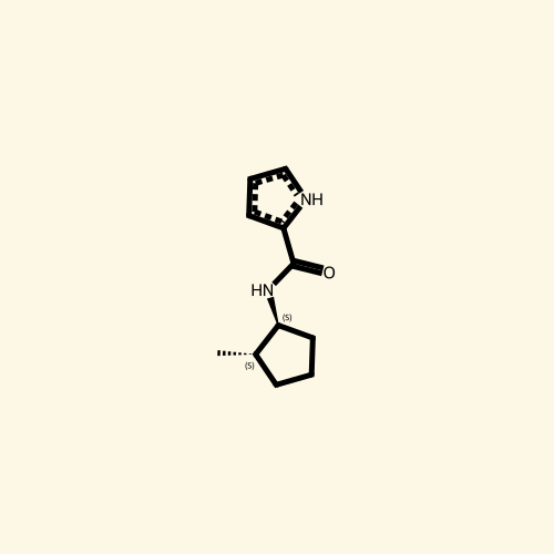 C[C@H]1CCC[C@@H]1NC(=O)c1ccc[nH]1